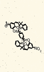 C=[N+]([O-])c1cc2c(c(OC)c1)OC1(C=C2)N(Cc2ccc(CN3c4ccccc4C(C)(C)C34C=Cc3cc([N+](=O)[O-])cc(OC)c3O4)cc2)c2ccccc2C1(C)C